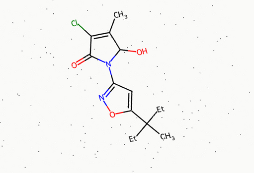 CCC(C)(CC)c1cc(N2C(=O)C(Cl)=C(C)C2O)no1